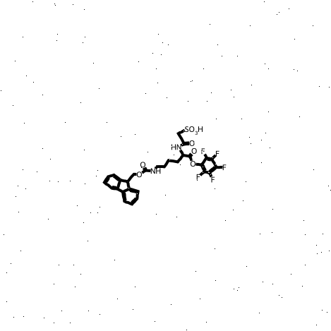 O=C(CS(=O)(=O)O)NC(CCCCNC(=O)OCC1c2ccccc2-c2ccccc21)C(=O)Oc1c(F)c(F)c(F)c(F)c1F